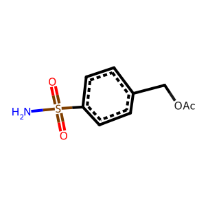 CC(=O)OCc1ccc(S(N)(=O)=O)cc1